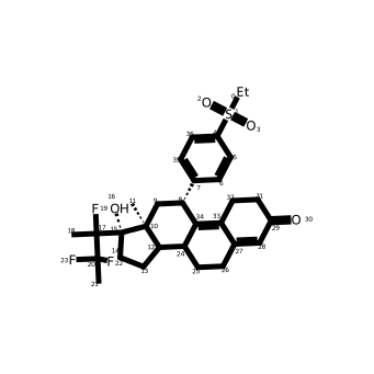 CCS(=O)(=O)c1ccc([C@H]2C[C@@]3(C)C(CC[C@@]3(O)C(C)(F)C(C)(F)F)C3CCC4=CC(=O)CCC4=C32)cc1